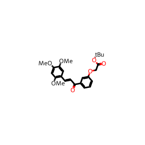 COc1cc(OC)c(OC)cc1C=CC(=O)c1cccc(OCC(=O)OC(C)(C)C)c1